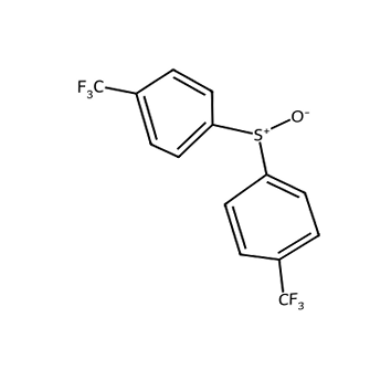 [O-][S+](c1ccc(C(F)(F)F)cc1)c1ccc(C(F)(F)F)cc1